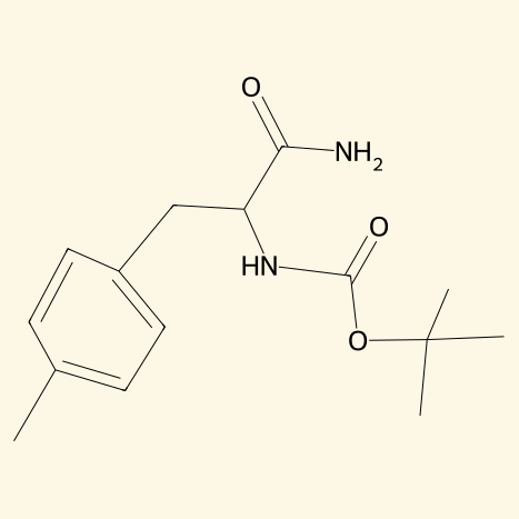 Cc1ccc(CC(NC(=O)OC(C)(C)C)C(N)=O)cc1